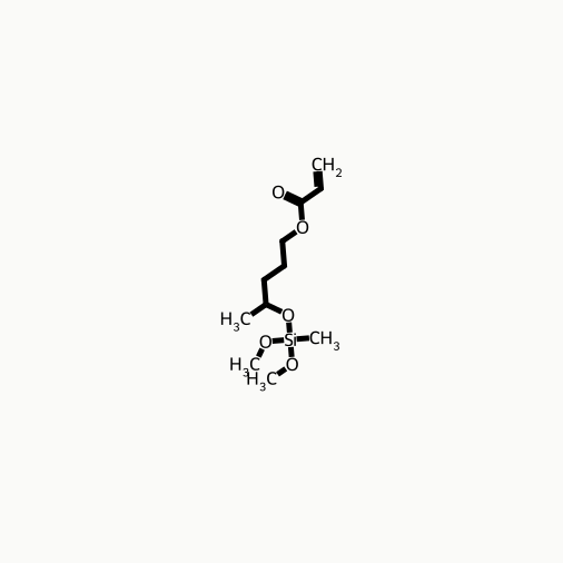 C=CC(=O)OCCCC(C)O[Si](C)(OC)OC